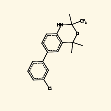 CC1(C)OC(C)(C(F)(F)F)Nc2ccc(-c3cccc(Cl)c3)cc21